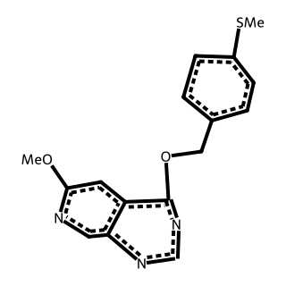 COc1cc2c(OCc3ccc(SC)cc3)ncnc2cn1